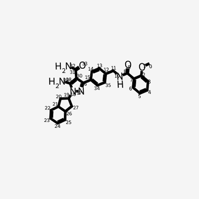 COc1ccccc1C(=O)NCc1ccc(-c2nn(C3CC4C=CC=CC4C3)c(N)c2C(N)=O)cc1